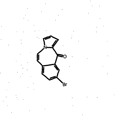 O=c1c2cc(Br)ccc2ccn2cccc12